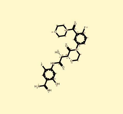 N=C(N)c1cc(F)c(NC(=O)[C@H](O)[C@H]2OCCN(c3ccc(F)c(C(=O)N4CCOCC4)c3)C2=O)cc1O